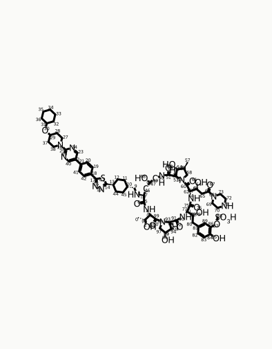 C[C@@H](O)[C@@H]1NC(=O)[C@@H](NC[C@H]2CC[C@H](c3nnc(-c4ccc(-c5cnc(N6CCC(OC7CCCCC7)CC6)nc5)cc4)s3)CC2)C[C@@H](O)CNC(=O)[C@@H]2[C@@H](O)[C@@H](C)CN2C(=O)[C@H]([C@H](O)CC(=O)N2CCNCC2)NC(=O)[C@H]([C@H](O)Cc2ccc(O)c(OS(=O)(=O)O)c2)NC(=O)[C@@H]2C[C@@H](O)CN2C1=O